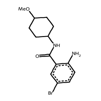 COC1CCC(NC(=O)c2cc(Br)ccc2N)CC1